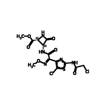 CON=C(C(=O)N[C@H]1C(=O)N[C@H]1C(=O)OC)c1nc(NC(=O)CCl)sc1Cl